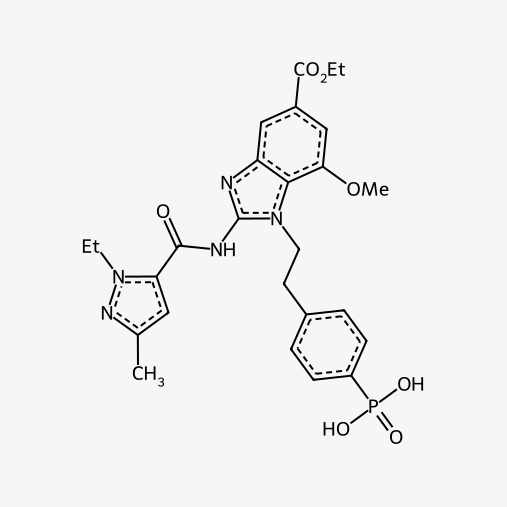 CCOC(=O)c1cc(OC)c2c(c1)nc(NC(=O)c1cc(C)nn1CC)n2CCc1ccc(P(=O)(O)O)cc1